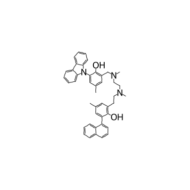 Cc1cc(CCN(C)CCN(C)Cc2cc(C)cc(-n3c4ccccc4c4ccccc43)c2O)c(O)c(-c2cccc3ccccc23)c1